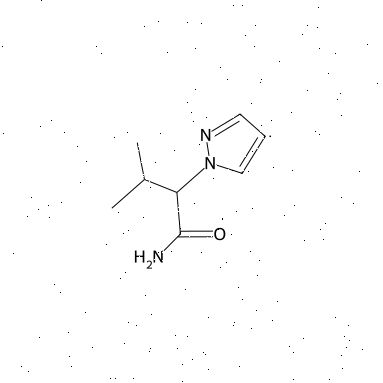 CC(C)C(C(N)=O)n1c[c]cn1